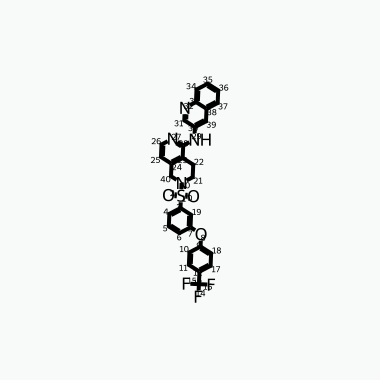 O=S(=O)(c1cccc(Oc2ccc(C(F)(F)F)cc2)c1)N1CCc2c(ccnc2Nc2cnc3ccccc3c2)C1